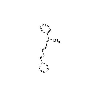 C\C(=C/C=C/C=C/c1ccccc1)c1ccccc1